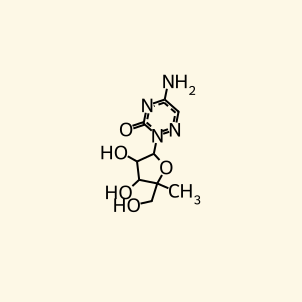 CC1(CO)OC(n2ncc(N)nc2=O)C(O)C1O